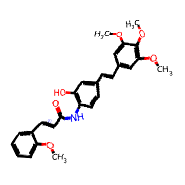 COc1ccccc1/C=C/C(=O)Nc1ccc(C=Cc2cc(OC)c(OC)c(OC)c2)cc1O